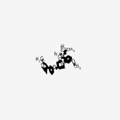 COC(=O)CC(c1cccc(OCC2CCN(c3cc(OC)ccc3C(=O)N(C)CC(C)C)CC2)c1)C1CC1